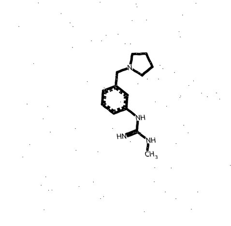 CNC(=N)Nc1cccc(CN2CCCC2)c1